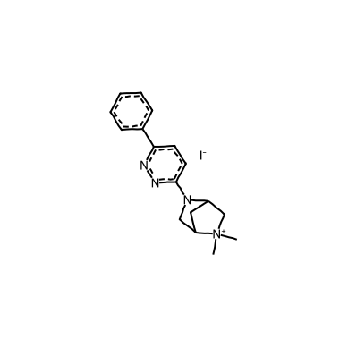 C[N+]1(C)CC2CC1CN2c1ccc(-c2ccccc2)nn1.[I-]